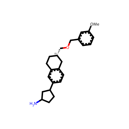 COc1cccc(COC[C@H]2CCc3cc(C4CCC(N)C4)ccc3C2)c1